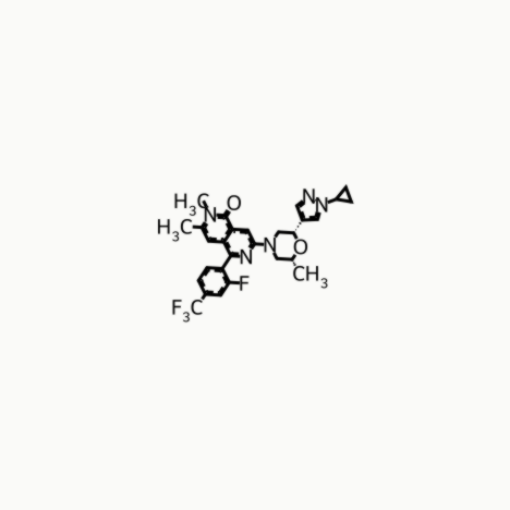 Cc1cc2c(-c3ccc(C(F)(F)F)cc3F)nc(N3C[C@@H](C)O[C@@H](c4cnn(C5CC5)c4)C3)cc2c(=O)n1C